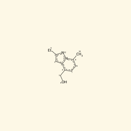 CCc1cc2c(CO)ccc(C)n2n1